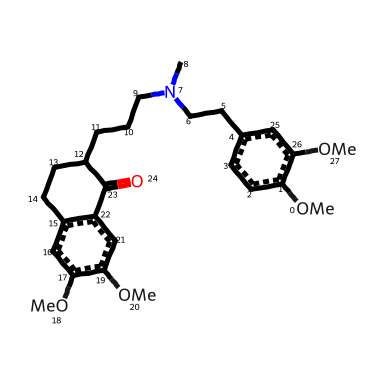 COc1ccc(CCN(C)CCCC2CCc3cc(OC)c(OC)cc3C2=O)cc1OC